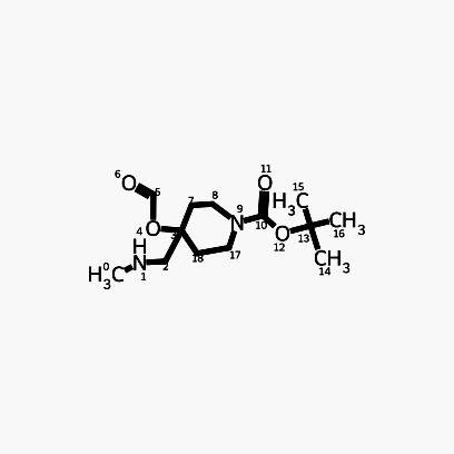 CNCC1(OC=O)CCN(C(=O)OC(C)(C)C)CC1